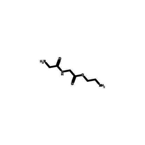 NCCOC(=O)CNC(=O)CN